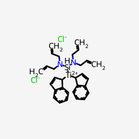 C=CCN(CC=C)[SiH](N(CC=C)CC=C)[Ti+2]([CH]1C=Cc2ccccc21)[CH]1C=Cc2ccccc21.[Cl-].[Cl-]